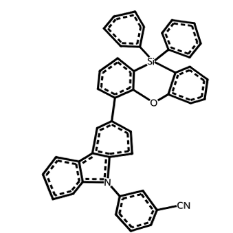 N#Cc1cccc(-n2c3ccccc3c3cc(-c4cccc5c4Oc4ccccc4[Si]5(c4ccccc4)c4ccccc4)ccc32)c1